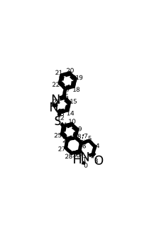 CN1C(=O)CC[C@]2(C)c3ccc(Sc4ccc(-c5ccccc5)nn4)cc3CC[C@@H]12